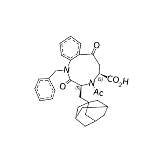 CC(=O)N1[C@H](C(=O)O)CC(=O)c2ccccc2N(Cc2ccccc2)C(=O)[C@@H]1CC12CC3CC(CC(C3)C1)C2